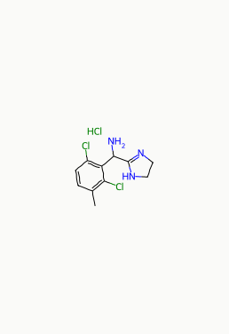 Cc1ccc(Cl)c(C(N)C2=NCCN2)c1Cl.Cl